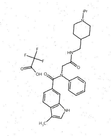 Cc1c[nH]c2cc(C(=O)N(CC(=O)NCC3CCN(C(C)C)CC3)c3ccccc3)ccc12.O=C(O)C(F)(F)F